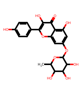 CC1OC(Oc2cc(O)c3c(=O)c(O)c(-c4ccc(O)cc4)oc3c2)C(O)C(O)C1O